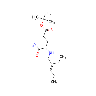 CC/C=C(\CC)CNC(CCC(=O)OC(C)(C)C)C(N)=O